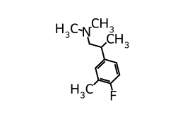 Cc1cc(C(C)CN(C)C)ccc1F